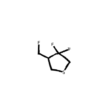 FCC1CSCC1(F)F